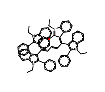 CCn1c(-c2ccccc2)c(C(=CC=C/C(=C2\C(c3ccccc3)=[N+](CC)c3ccccc32)c2c(-c3ccccc3)n(CC)c3ccccc23)c2c(-c3ccccc3)n(CC)c3ccccc23)c2ccccc21